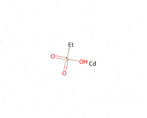 CCS(=O)(=O)O.[Cd]